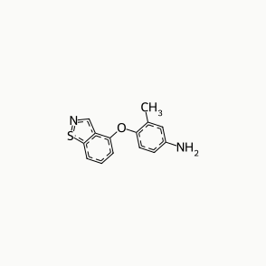 Cc1cc(N)ccc1Oc1cccc2sncc12